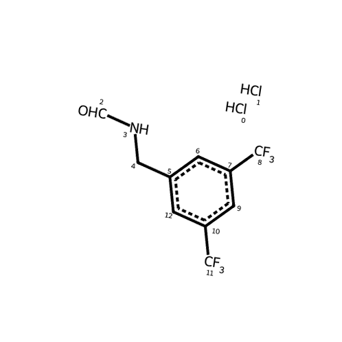 Cl.Cl.O=CNCc1cc(C(F)(F)F)cc(C(F)(F)F)c1